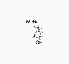 CNCC(C)(C)c1ccc(O)cc1